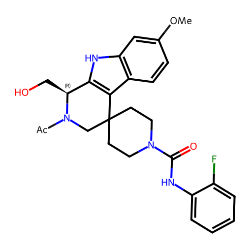 COc1ccc2c3c([nH]c2c1)[C@H](CO)N(C(C)=O)CC31CCN(C(=O)Nc2ccccc2F)CC1